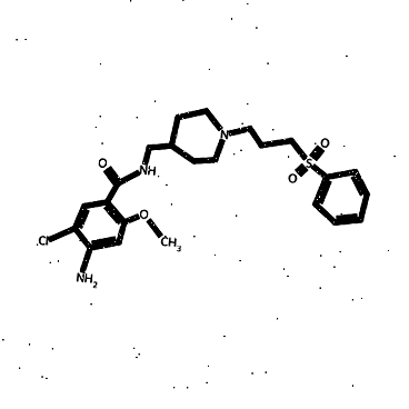 COc1cc(N)c(Cl)cc1C(=O)NCC1CCN(CCCS(=O)(=O)c2ccccc2)CC1